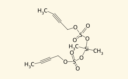 CC#CCOS(=O)(=O)O[Si](C)(C)OS(=O)(=O)OCC#CC